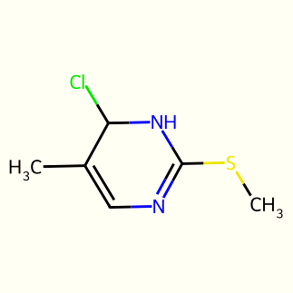 CSC1=NC=C(C)C(Cl)N1